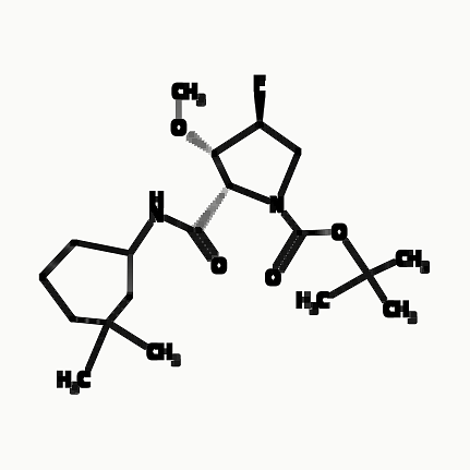 CO[C@H]1[C@@H](C(=O)NC2CCCC(C)(C)C2)N(C(=O)OC(C)(C)C)C[C@@H]1F